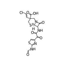 O=CNc1nc(C(=O)C(=O)NC2C(=O)N3CC(C=CCl)(C(=O)O)CS[C@H]23)cs1